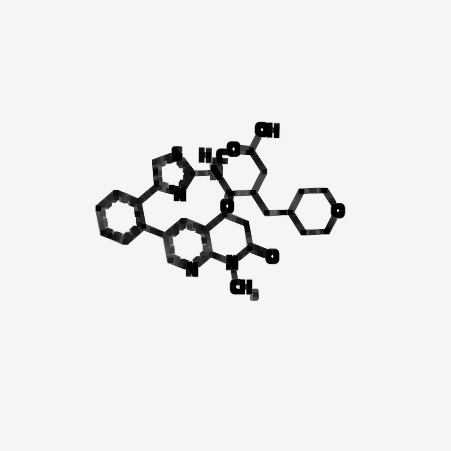 CN(C(=O)C(CC(=O)O)CC1CCOCC1)c1nc(-c2ccccc2-c2cnc3c(c2)CCC(=O)N3C)cs1